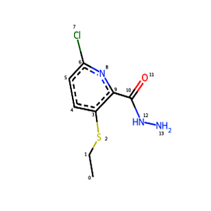 CCSc1ccc(Cl)nc1C(=O)NN